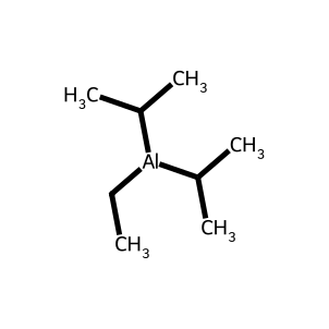 C[CH2][Al]([CH](C)C)[CH](C)C